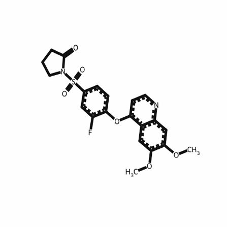 COc1cc2nccc(Oc3ccc(S(=O)(=O)N4CCCC4=O)cc3F)c2cc1OC